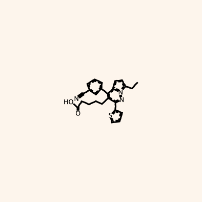 CCc1ccc2c(-c3cccc(C#N)c3)c(CCCCC(=O)O)c(-c3cccs3)nn12